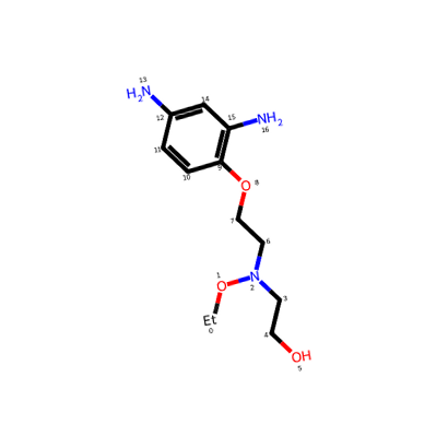 CCON(CCO)CCOc1ccc(N)cc1N